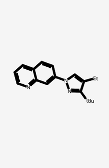 CCc1cn(-c2ccc3cccnc3c2)nc1C(C)(C)C